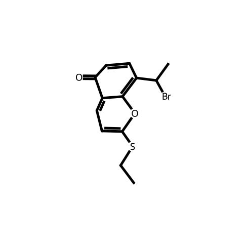 CCSc1ccc2c(=O)ccc(C(C)Br)c-2o1